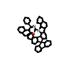 c1ccc(-c2nc(-n3c4c5c(ccc4c4ccc6ccccc6c43)C3(c4ccccc4-c4ccccc43)c3ccc4ccccc4c3-5)nc3ccc4ccccc4c23)cc1